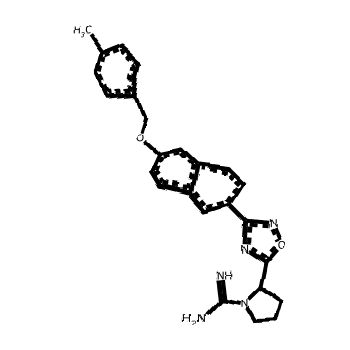 Cc1ccc(COc2ccc3cc(-c4noc(C5CCCN5C(=N)N)n4)ccc3c2)cc1